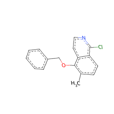 Cc1ccc2c(Cl)nccc2c1OCc1ccccc1